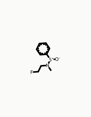 CN(CCF)[S+]([O-])c1ccccc1